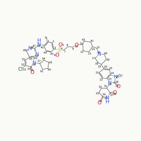 Cc1cc(S(=O)(=O)CCCOC2CCC(CN3CCC(c4ccc5c(c4)n(C)c(=O)n5C4CCC(=O)NC4=O)CC3)CC2)ccc1Nc1ncc2cc(Cl)c(=O)n(C3CCCC3)c2n1